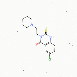 O=c1c2cc(Cl)ccc2[nH]c(=S)n1CCN1CCCCC1